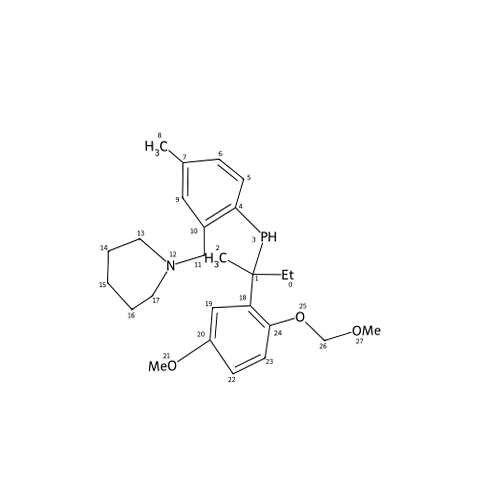 CCC(C)(Pc1ccc(C)cc1CN1CCCCC1)c1cc(OC)ccc1OCOC